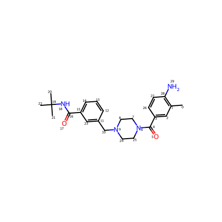 Cc1cc(C(=O)N2CCN(Cc3cccc(C(=O)NC(C)(C)C)c3)CC2)ccc1N